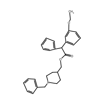 CCOc1cccc(C(C(=O)OCC2CCN(Cc3ccccc3)CC2)c2ccccc2)c1